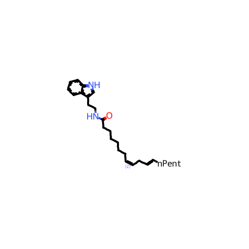 CCCCCC=CC/C=C\CCCCCCC(=O)NCCc1c[nH]c2ccccc12